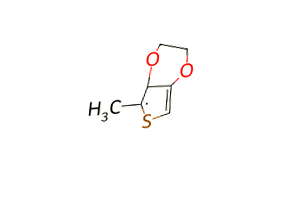 C[C]1SC=C2OCCOC12